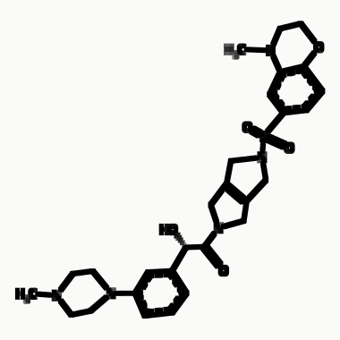 CN1CCN(c2cccc([C@H](O)C(=O)N3CC4=C(C3)CN(S(=O)(=O)c3ccc5c(c3)N(C)CCO5)C4)c2)CC1